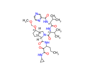 CCCC(NC(=O)[C@@H]1[C@H]2CC[C@@H](OCOC)[C@H]2CN1C(=O)[C@@H](NC(=O)[C@H](NC(=O)c1cnccn1)C(C)C)C(C)C)C(=O)C(=O)NC1CC1